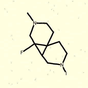 CN1CCC23CCN(I)CC2C3(F)C1